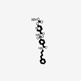 COC(=O)Oc1ccc(C(=O)NS(=O)(=O)c2ccc(C(=O)NCCCCc3ccccc3)cc2)cn1